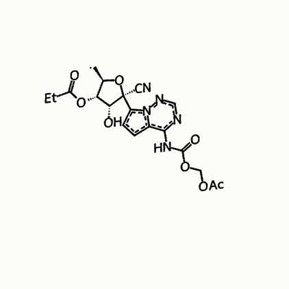 [CH2][C@H]1O[C@@](C#N)(c2ccc3c(NC(=O)OCOC(C)=O)ncnn23)[C@H](O)[C@@H]1OC(=O)CC